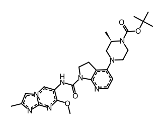 COc1nc2nc(C)cn2cc1NC(=O)N1CCc2c(N3CCN(C(=O)OC(C)(C)C)[C@H](C)C3)ccnc21